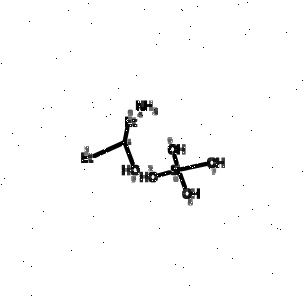 CCC(O)CC.N.O[Si](O)(O)O